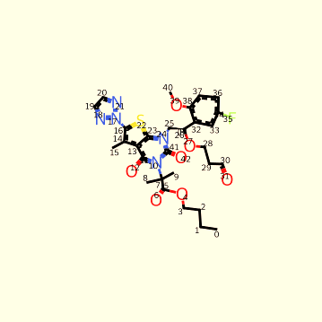 CCCCOC(=O)C(C)(C)n1c(=O)c2c(C)c(-n3nccn3)sc2n(C[C@H](OCCC=O)c2cc(F)ccc2OC)c1=O